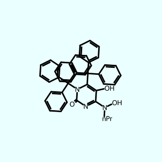 CCCN(O)c1nc(=O)n(C(c2ccccc2)(c2ccccc2)c2ccccc2)c(C(c2ccccc2)(c2ccccc2)c2ccccc2)c1O